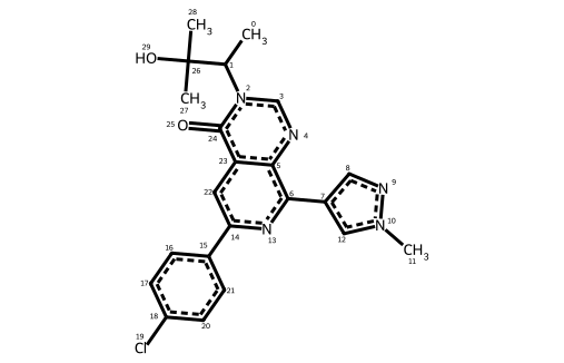 CC(n1cnc2c(-c3cnn(C)c3)nc(-c3ccc(Cl)cc3)cc2c1=O)C(C)(C)O